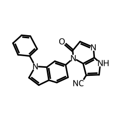 N#Cc1c[nH]c2ncc(=O)n(-c3ccc4ccn(-c5ccccc5)c4c3)c12